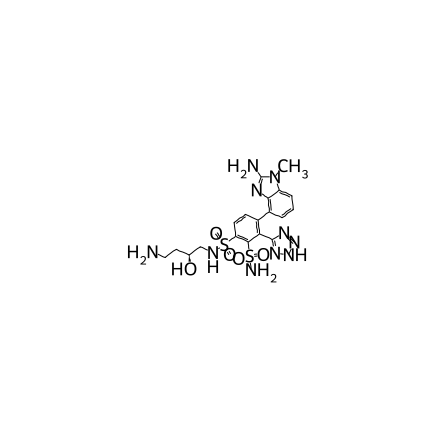 Cn1c(N)nc2c(-c3ccc(S(=O)(=O)NC[C@@H](O)CCN)c(S(N)(=O)=O)c3-c3nn[nH]n3)cccc21